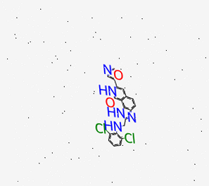 O=c1[nH]c(-c2cnco2)cc2ccc3nc(CNc4c(Cl)cccc4Cl)[nH]c3c12